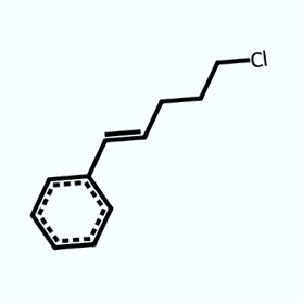 ClCCCC=Cc1ccccc1